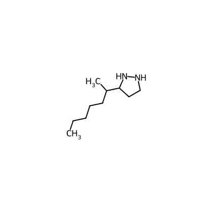 CCCCCC(C)C1CCNN1